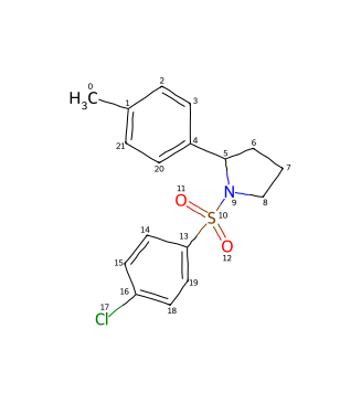 Cc1ccc(C2CCCN2S(=O)(=O)c2ccc(Cl)cc2)cc1